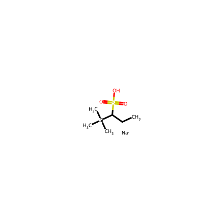 CCC([Si](C)(C)C)S(=O)(=O)O.[Na]